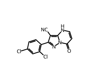 N#Cc1c(-c2ccc(Cl)cc2Cl)nn2c(=O)cc[nH]c12